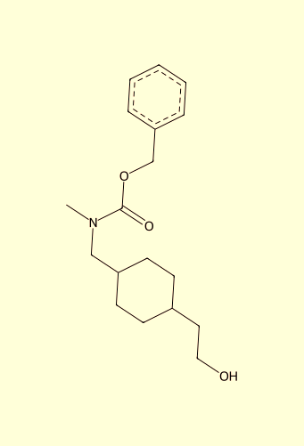 CN(CC1CCC(CCO)CC1)C(=O)OCc1ccccc1